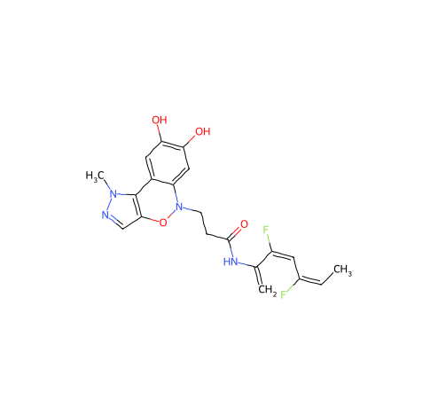 C=C(NC(=O)CCN1Oc2cnn(C)c2-c2cc(O)c(O)cc21)/C(F)=C\C(F)=C/C